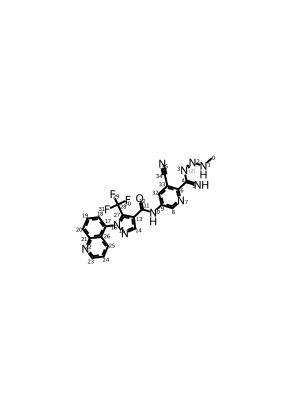 CN/N=N\C(=N)c1ncc(NC(=O)c2cnn(-c3cccc4ncccc34)c2C(F)(F)F)cc1C#N